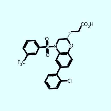 O=C(O)CC[C@H]1CN(S(=O)(=O)c2cccc(C(F)(F)F)c2)c2cc(-c3ccccc3Cl)ccc2O1